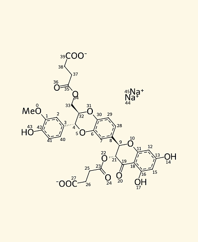 COc1cc([C@H]2Oc3cc([C@H]4Oc5cc(O)cc(O)c5C(=O)[C@@H]4OC(=O)CCC(=O)[O-])ccc3O[C@@H]2COC(=O)CCC(=O)[O-])ccc1O.[Na+].[Na+]